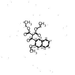 CCOC(=O)C(C(=O)OCC)C(=O)c1cc2ccccc2cc1OC